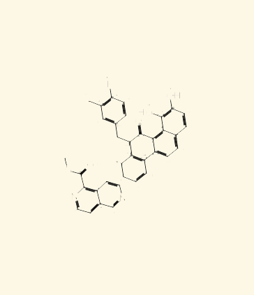 COC(=O)c1nccc2cnccc12.O=C1c2c(ccc3ccc(O)c(O)c23)C2=C(CCC=C2)C1Cc1ccc(F)c(Cl)c1